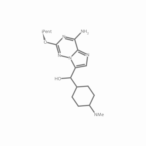 CCC[C@H](C)Oc1nc(N)c2ncc(C(O)C3CCC(NC)CC3)n2n1